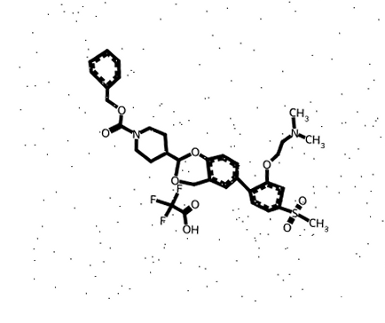 CN(C)CCOc1cc(S(C)(=O)=O)ccc1-c1ccc2c(c1)COC(C1CCN(C(=O)OCc3ccccc3)CC1)O2.O=C(O)C(F)(F)F